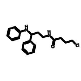 O=C(CCCCl)NCCC(Nc1ccccc1)c1ccccc1